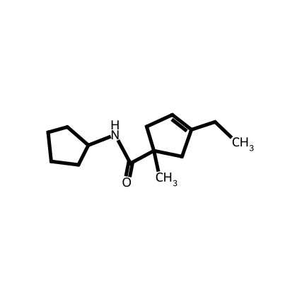 CCC1=CCC(C)(C(=O)NC2CCCC2)C1